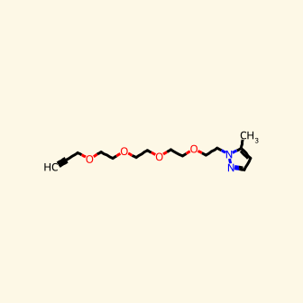 C#CCOCCOCCOCCOCCn1nccc1C